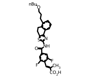 CCCCOCCCc1cccc2c1CCc1sc(NC(=O)c3cc(F)c(/C=C(\C)C(=O)O)c(F)c3)nc1-2